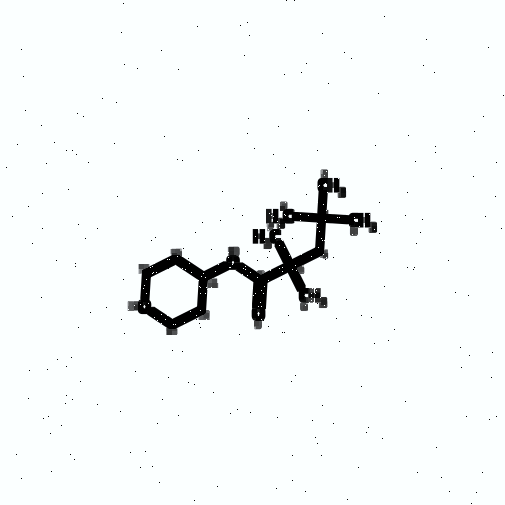 CC(C)(C)CC(C)(C)C(=O)OC1CCOCC1